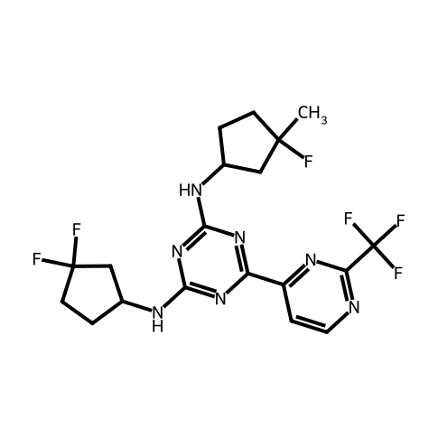 CC1(F)CCC(Nc2nc(NC3CCC(F)(F)C3)nc(-c3ccnc(C(F)(F)F)n3)n2)C1